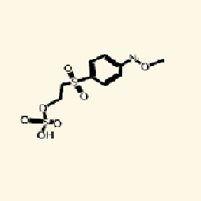 CO[N]c1ccc(S(=O)(=O)CCOS(=O)(=O)O)cc1